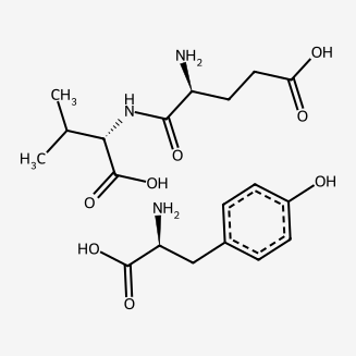 CC(C)[C@H](NC(=O)[C@@H](N)CCC(=O)O)C(=O)O.N[C@@H](Cc1ccc(O)cc1)C(=O)O